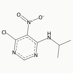 CC(C)Nc1ncnc(Cl)c1[N+](=O)[O-]